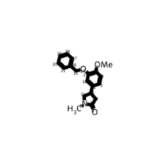 COc1ccc(C2CC(=O)N(C)C2)cc1OCc1ccccc1